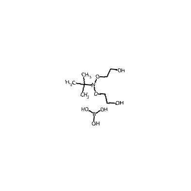 CC(C)(C)N(OCCO)OCCO.OB(O)O